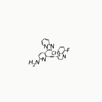 Cc1nc2ccccn2c1-c1ccc(N)nc1C#Cc1ccnc2c(F)cccc12